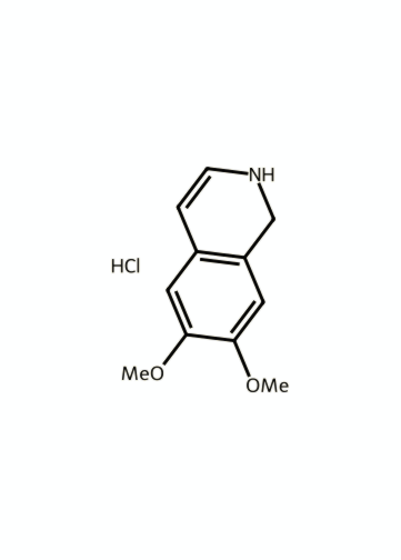 COc1cc2c(cc1OC)CNC=C2.Cl